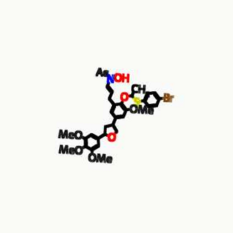 COc1cc(C2COC(c3cc(OC)c(OC)c(OC)c3)C2)cc(CC=CN(O)C(C)=O)c1OC(C)Sc1ccc(Br)cc1